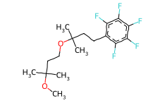 COC(C)(C)CCOC(C)(C)CCc1c(F)c(F)c(F)c(F)c1F